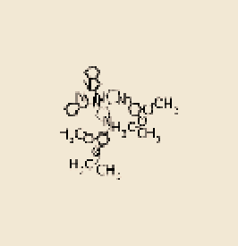 CCOc1cc(CN2CCC(N(c3cnc4ccccc4c3)N(c3cnc4ccccc4c3)C3CCN(Cc4ccc(OC(C)C)c(OCC)c4)CC3)CC2)ccc1OCC(C)C